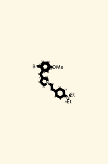 CCN(CC)C1CCC(CCN2CCC(Cc3cc(OC)ccc3Br)C2)CC1